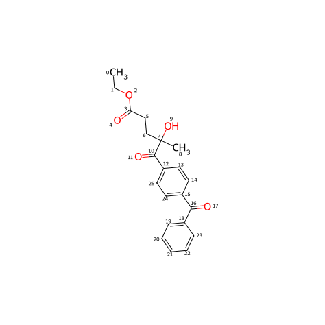 CCOC(=O)CCC(C)(O)C(=O)c1ccc(C(=O)c2ccccc2)cc1